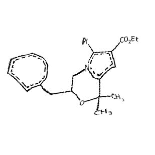 CCOC(=O)c1cc2n(c1C(C)C)CC(Cc1ccccc1)OC2(C)C